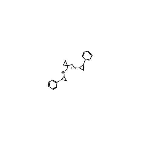 c1ccc(C2CC2NCC2(CNC3C[C@H]3c3ccccc3)CC2)cc1